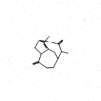 C=C1CCC2CC3=C(C)C(CC13)OC(=O)C2C